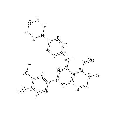 COc1nc(-c2cc3c(c(Nc4ccc(N5CCOCC5)cc4)n2)C(C=O)N(C)C=C3)cnc1N